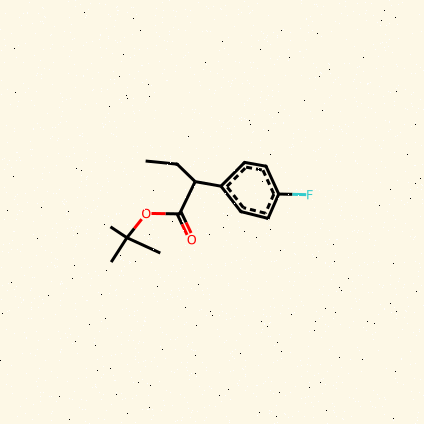 CCC(C(=O)OC(C)(C)C)c1ccc(F)cc1